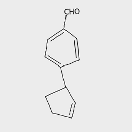 O=Cc1ccc(C2C=CCC2)cc1